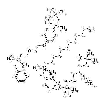 CC(C)(C)CC(C)(C)c1ccc(OCCOCC[N+](C)(C)Cc2ccccc2)cc1.CCCCCCCCCCCC[N+](C)(C)Cc1ccccc1.C[N+](C)(C)CCCCCC[N+](C)(C)C.[Cl-].[Cl-].[Cl-].[Cl-]